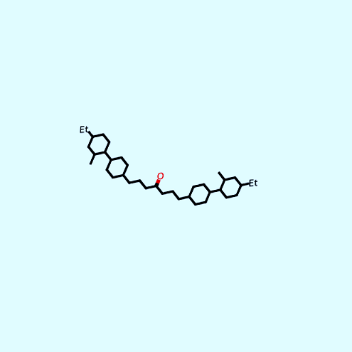 CCC1CCC(C2CCC(CCCC(=O)CCCC3CCC(C4CCC(CC)CC4C)CC3)CC2)C(C)C1